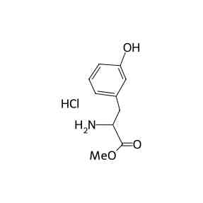 COC(=O)C(N)Cc1cccc(O)c1.Cl